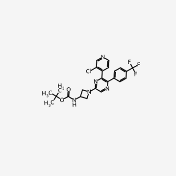 CC(C)(C)OC(=O)NC1CN(c2cnc(-c3ccc(C(F)(F)F)cc3)c(-c3ccncc3Cl)n2)C1